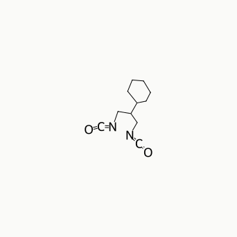 O=C=NCC(CN=C=O)C1CCCCC1